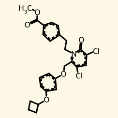 COC(=O)c1ccc(CCn2c(COc3cccc(OC4CCC4)c3)c(Cl)cc(Cl)c2=O)cc1